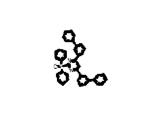 O=P(c1ccccc1)(c1ccccc1)c1nc(-c2cccc(-c3ccccc3)c2)cc(-c2cccc(-c3ccccc3)c2)n1